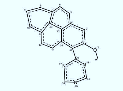 COc1cc2ccc3cccc4ccc(c1-c1ncncn1)c2c34